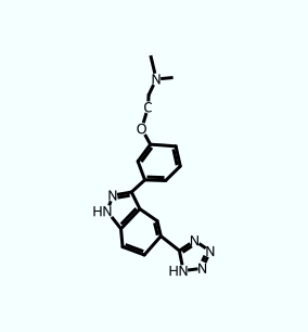 CN(C)CCOc1cccc(-c2n[nH]c3ccc(-c4nnn[nH]4)cc23)c1